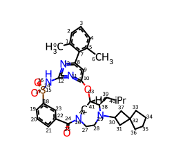 Cc1cccc(C)c1-c1cc2nc(n1)NS(=O)(=O)c1cccc(c1)C(=O)N1CCN(C3CC4(CCCC4)C3)[C@H](CC(C)C)[C@H](C1)O2